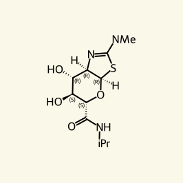 CNC1=N[C@@H]2[C@@H](O)[C@H](O)[C@@H](C(=O)NC(C)C)O[C@@H]2S1